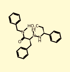 CCN(N[C@@H](CC(=O)O)c1ccccc1)[C@@H](Cc1ccccc1)C(=O)N(C)Cc1ccccc1